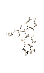 CC(C)(CN)[C@@H](c1ccccc1)c1ccc2[nH]ncc2c1